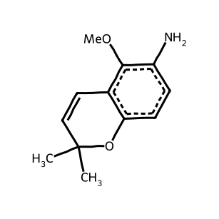 COc1c(N)ccc2c1C=CC(C)(C)O2